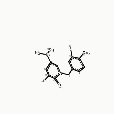 COc1ccc(Cn2cc(B(O)O)cc(F)c2=O)cc1F